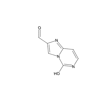 O=Cc1cn2c(O)nccc2n1